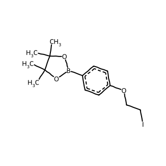 CC1(C)OB(c2ccc(OCCI)cc2)OC1(C)C